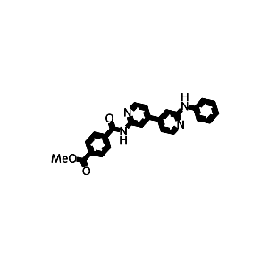 COC(=O)c1ccc(C(=O)Nc2cc(-c3ccnc(Nc4ccccc4)c3)ccn2)cc1